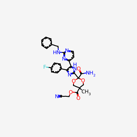 CC1(C(=O)OCC#N)COC(C(N)=O)(c2nc(-c3ccc(F)cc3)c(-c3ccnc(NCc4ccccc4)n3)[nH]2)OC1